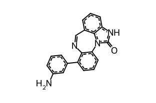 Nc1cccc(-c2cccc3c2N=Cc2cccc4[nH]c(=O)n-3c24)c1